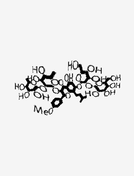 COc1ccc(-c2oc3c(CC=C(C)C)c(O[C@@H]4OC(CO)[C@@H](O)[C@H](O)C4O[C@@H]4OC(CO)[C@@H](O)[C@H](O)C4O)cc(O)c3c(=O)c2O[C@@H]2OC(C)[C@H](O)C(O)[C@@H]2O[C@@H]2OC(C)[C@H](O)C(O)[C@@H]2O)cc1